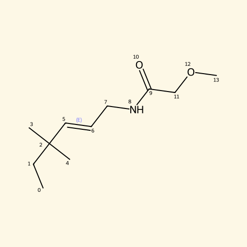 CCC(C)(C)/C=C/CNC(=O)COC